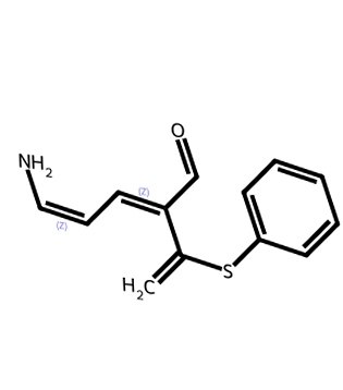 C=C(Sc1ccccc1)/C(C=O)=C\C=C/N